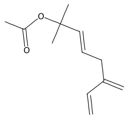 C=CC(=C)C/C=C/C(C)(C)OC(C)=O